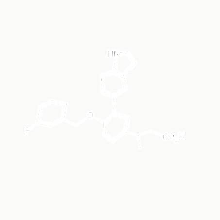 CC(CC(=O)O)c1ccc(OCc2cccc(F)c2)c(-c2ccc3[nH]ccc3c2)c1